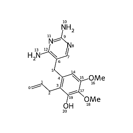 C=CCc1c(Cc2cnc(N)nc2N)cc(OC)c(OC)c1O